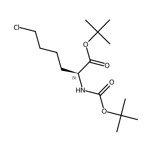 CC(C)(C)OC(=O)N[C@@H](CCCCCl)C(=O)OC(C)(C)C